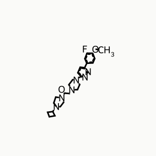 COc1ccc(-c2ccc(N3CCN(CC(=O)N4CCN(C5CCC5)CC4)CC3)nn2)cc1F